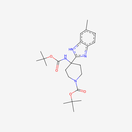 Cc1ccc2nc(C3(NC(=O)OC(C)(C)C)CCN(C(=O)OC(C)(C)C)CC3)[nH]c2c1